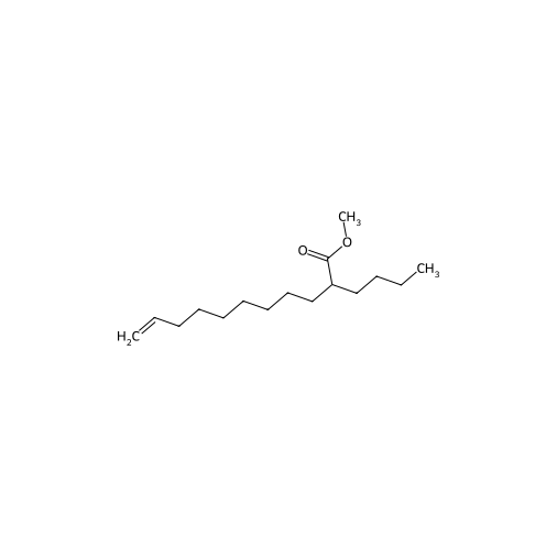 C=CCCCCCCCC(CCCC)C(=O)OC